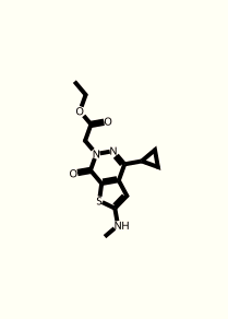 CCOC(=O)Cn1nc(C2CC2)c2cc(NC)sc2c1=O